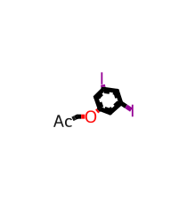 CC(=O)COc1cc(I)cc(I)c1